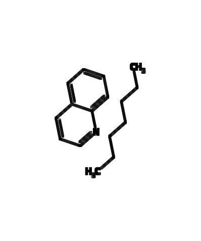 CCCCCCC.c1ccc2ncccc2c1